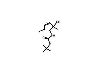 CC/C=C\C(C)(O)CNC(=O)OC(C)(C)C